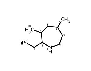 CC(C)CC1NCCC(C)CC1C